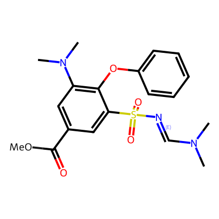 COC(=O)c1cc(N(C)C)c(Oc2ccccc2)c(S(=O)(=O)/N=C/N(C)C)c1